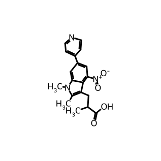 Cc1c(CC(C)C(=O)O)c2c([N+](=O)[O-])cc(-c3ccncc3)cc2n1C